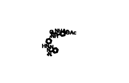 CC(=O)NC(Cc1ccc(OC(C)=O)cc1)C(=O)NC[C@H]1CC[C@@H](Nc2nc(N(C)C)c3ccccc3n2)CC1